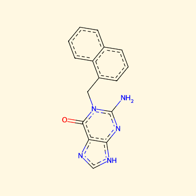 Nc1nc2[nH]cnc2c(=O)n1Cc1cccc2ccccc12